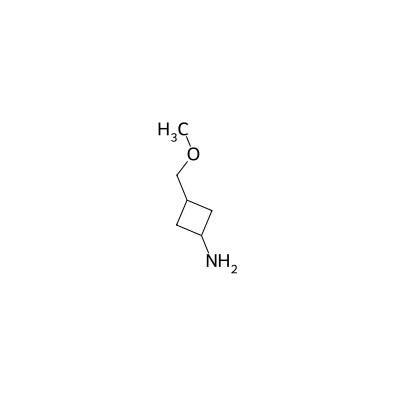 COCC1CC(N)C1